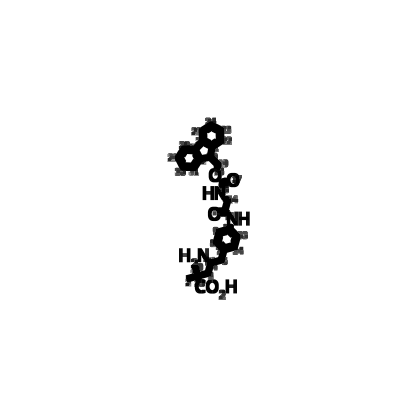 CC(C)(C[C@@H](N)Cc1ccc(NC(=O)CNC(=O)OCC2c3ccccc3-c3ccccc32)cc1)C(=O)O